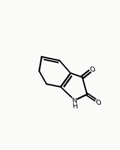 O=C1NC2=C(C=CCC2)C1=O